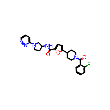 O=C(NC1CCN(c2cccnn2)C1)c1ccc(C2CCN(C(=O)c3ccccc3F)CC2)o1